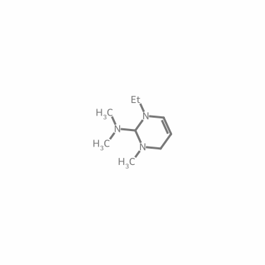 CCN1C=CCN(C)C1N(C)C